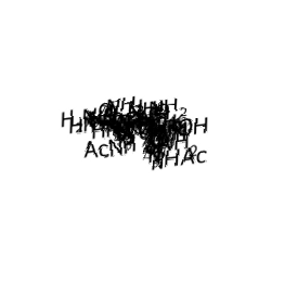 CC(=O)NCSC[C@H](NC(=O)[C@H](CC(N)=O)NC(=O)[C@H](CCC(N)=O)NC(=O)[C@H](Cc1ccccc1)NC(=O)[C@H](Cc1ccc(O)cc1)NC(=O)[C@@H](N)CSCNC(C)=O)C(=O)N1CCC[C@H]1C(=O)N[C@@H](CCCNC(=N)N)C(=O)NCC(N)=O